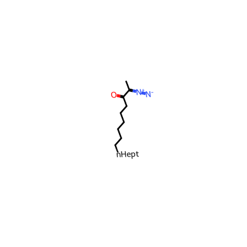 CCCCCCCCCCCCCC(=O)C(C)=[N+]=[N-]